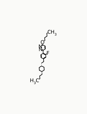 CCCCCOc1ccc(-c2ccc(CC[C@H]3CC[C@H](CCCC)CC3)cc2F)nn1